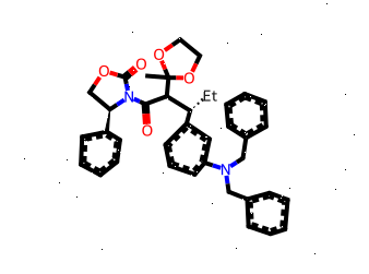 CC[C@H](c1cccc(N(Cc2ccccc2)Cc2ccccc2)c1)C(C(=O)N1C(=O)OC[C@@H]1c1ccccc1)C1(C)OCCO1